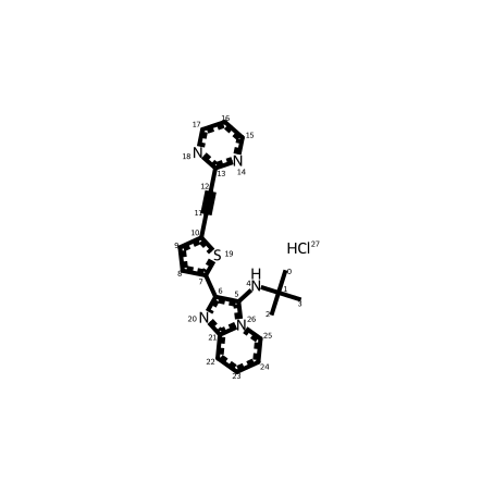 CC(C)(C)Nc1c(-c2ccc(C#Cc3ncccn3)s2)nc2ccccn12.Cl